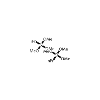 CCC[Si](OC)(OC)OC.CO[Si](OC)(OC)C(C)C